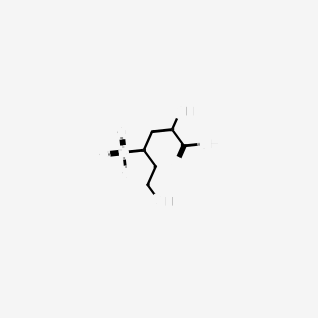 CCCC(CC(C)C(=O)O)S(=O)(=O)Cl